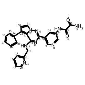 NC(=O)C(=O)Nc1cncc(-c2nc(NCc3ccccn3)c3c(-c4ccccc4)ccn3n2)c1